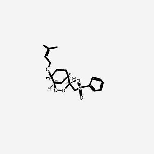 CC(C)=CCO[C@]1(C)CC[C@@H]2C[C@H]1OO[C@@]2(C)CS(=O)(=O)c1ccccc1